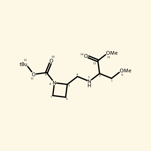 COCC(NCC1CCN1C(=O)OC(C)(C)C)C(=O)OC